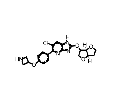 Clc1cc2[nH]c(OC3CO[C@@H]4CCO[C@H]34)nc2nc1-c1ccc(OC2CNC2)cc1